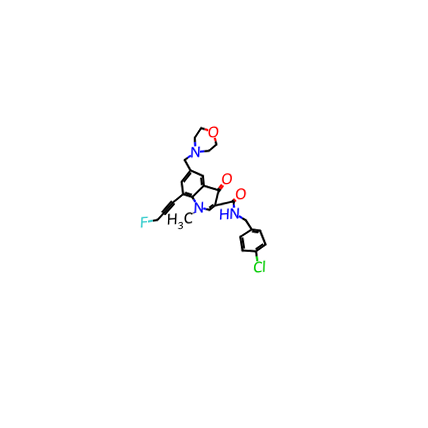 Cn1cc(C(=O)NCc2ccc(Cl)cc2)c(=O)c2cc(CN3CCOCC3)cc(C#CCF)c21